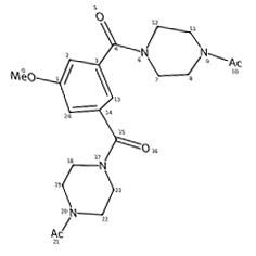 COc1cc(C(=O)N2CCN(C(C)=O)CC2)cc(C(=O)N2CCN(C(C)=O)CC2)c1